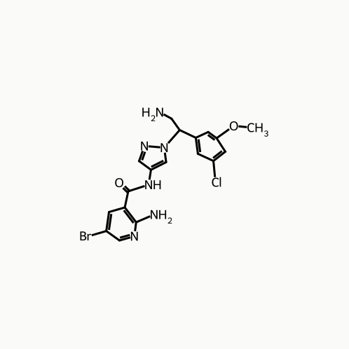 COc1cc(Cl)cc(C(CN)n2cc(NC(=O)c3cc(Br)cnc3N)cn2)c1